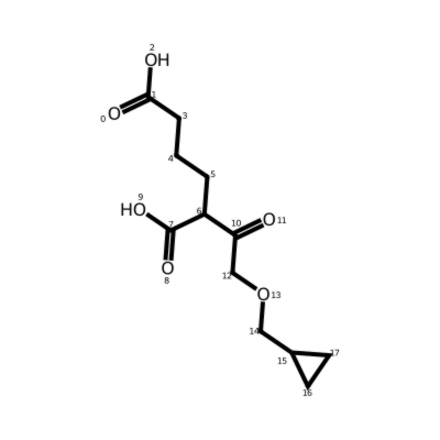 O=C(O)CCCC(C(=O)O)C(=O)COCC1CC1